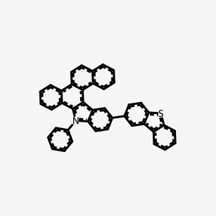 c1ccc(-n2c3ccc(-c4ccc5sc6ccccc6c5c4)cc3c3c4c5ccccc5ccc4c4ccccc4c32)cc1